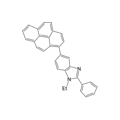 CCn1c(-c2ccccc2)nc2cc(-c3ccc4ccc5cccc6ccc3c4c56)ccc21